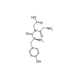 NCC(=O)N(CC(=O)O)C(=O)[C@@H](N)Cc1ccc(O)cc1